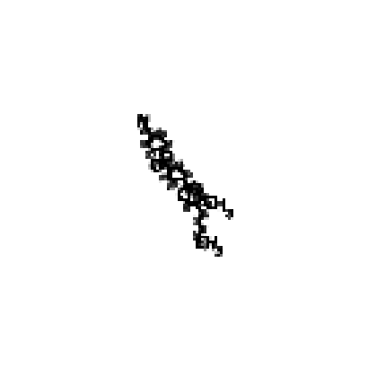 CCCCCC1COC(c2ccc(C(=O)Oc3ccc(C#N)cc3)cc2)OC1C